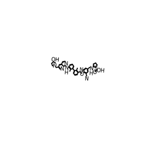 Cc1c(Nc2nccc3cc(CN4CCC(O)C4)cnc23)cccc1-c1cccc(-c2nc3cc(CN[C@H]4CCC[C@@H]4C(=O)O)cc(C#N)c3o2)c1C